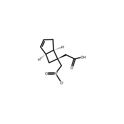 O=C(O)C[C@@]1(C[N+](=O)[O-])C[C@H]2C=CC[C@H]21